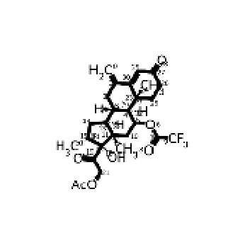 C=C1C[C@@H]2[C@H]([C@@H](OC(=O)C(F)(F)F)C[C@@]3(C)[C@H]2C[C@@H](C)[C@]3(O)C(=O)COC(C)=O)[C@@]2(C)CCC(=O)C=C12